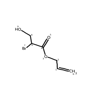 C=CCOC(=O)C(Br)CO